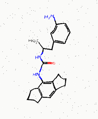 Nc1cccc(CC(NC(=O)Nc2c3c(cc4c2CCC4)CCC3)C(=O)O)c1